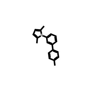 Cc1ccc(-c2cccc(-n3c(C)ccc3C)c2)cc1